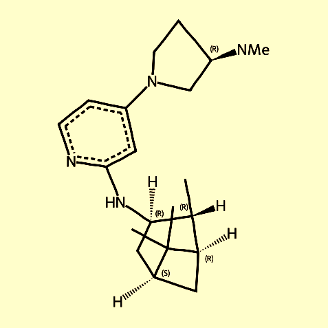 CN[C@@H]1CCN(c2ccnc(N[C@@H]3C[C@@H]4C[C@H]([C@H]3C)C4(C)C)c2)C1